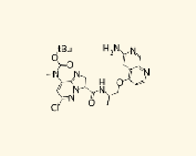 C[C@H](COc1ccnc2cnc(N)cc12)NC(=O)c1cnc2c(N(C)C(=O)OC(C)(C)C)cc(Cl)nn12